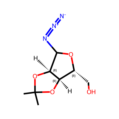 CC1(C)O[C@@H]2[C@@H](CO)OC(N=[N+]=[N-])[C@@H]2O1